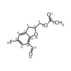 CC(=O)OCC1Cc2cc(F)cc(C=O)c2O1